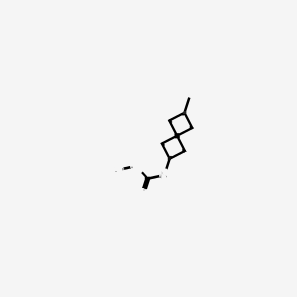 CC1CC2(C1)CC(NC(=O)OC(C)(C)C)C2